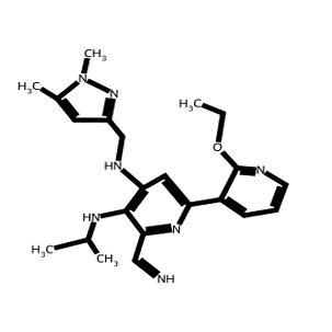 CCOc1ncccc1-c1cc(NCc2cc(C)n(C)n2)c(NC(C)C)c(C=N)n1